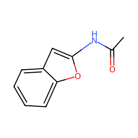 CC(=O)Nc1cc2ccccc2o1